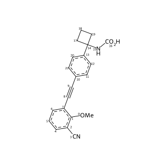 COc1c(C#N)cccc1C#Cc1ccc(C2(NC(=O)O)CCC2)cc1